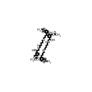 CC(=O)OCc1cc([C@@H](O)CNCCCCCCOCCCCc2cccc(S(N)(=O)=O)c2)ccc1O.CC1(C)OCc2cc([C@@H](O)CNCCCCCCOCCCCc3cccc(S(N)(=O)=O)c3)ccc2O1